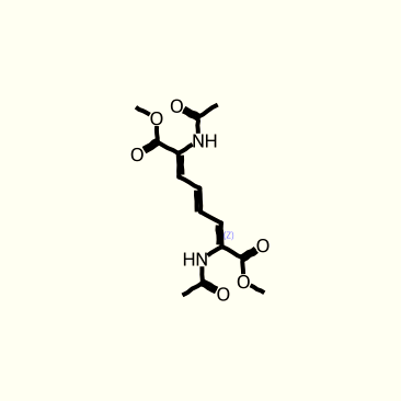 COC(=O)C(=CC=C/C=C(\NC(C)=O)C(=O)OC)NC(C)=O